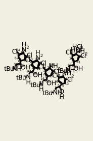 CC(C)(C)NCC(O)c1cc(Cl)c(N)c(Cl)c1.CC(C)(C)NCC(O)c1cc(Cl)c(N)c(Cl)c1.CC(C)(C)NCC(O)c1cc(Cl)c(N)c(Cl)c1.CC(C)(C)NCC(O)c1cc(Cl)c(N)c(Cl)c1.CC(C)(C)NCC(O)c1cc(Cl)c(N)c(Cl)c1.Cl.Cl